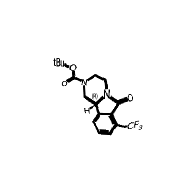 CC(C)(C)OC(=O)N1CCN2C(=O)c3c(cccc3C(F)(F)F)[C@@H]2C1